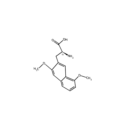 COc1cc2cccc(OC)c2cc1C[C@H](N)C(=O)O